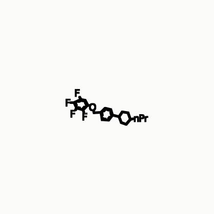 CCCC1CCC(c2ccc(COc3cc(F)c(F)c(F)c3F)cc2)CC1